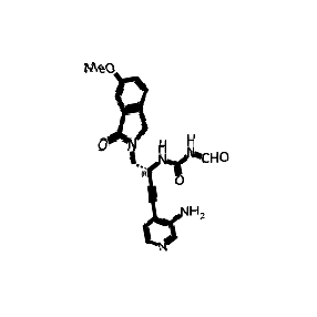 COc1ccc2c(c1)C(=O)N(C[C@@H](C#Cc1ccncc1N)NC(=O)NC=O)C2